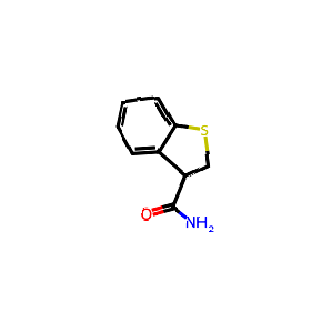 NC(=O)C1CSc2ccccc21